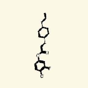 CCC[C@H]1CC[C@H](CCC(=O)Oc2ccc(Cl)c(F)c2)CC1